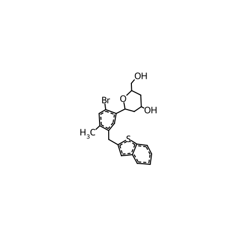 Cc1cc(Br)c(C2CC(O)CC(CO)O2)cc1Cc1cc2ccccc2s1